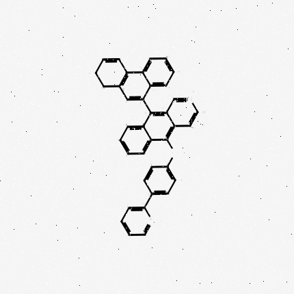 C1=Cc2c(cc(-c3c4ccccc4c(Oc4ccc(-c5ccccn5)cc4)c4ccncc34)c3ccccc23)CC1